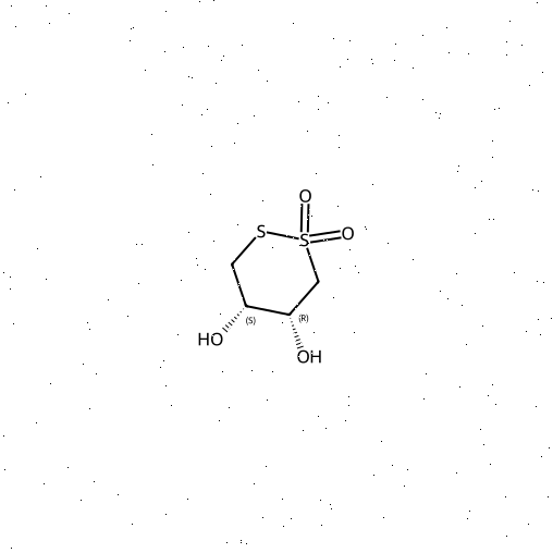 O=S1(=O)C[C@H](O)[C@H](O)CS1